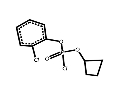 O=P(Cl)(Oc1ccccc1Cl)OC1CCC1